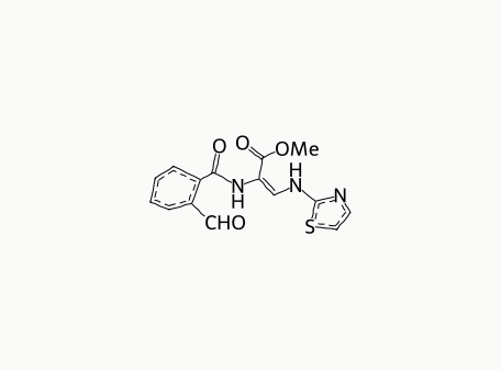 COC(=O)C(=CNc1nccs1)NC(=O)c1ccccc1C=O